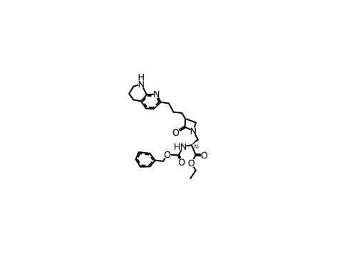 CCOC(=O)[C@H](CN1CC(CCCc2ccc3c(n2)NCCC3)C1=O)NC(=O)OCc1ccccc1